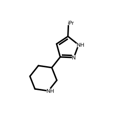 CC(C)c1cc(C2CCCNC2)n[nH]1